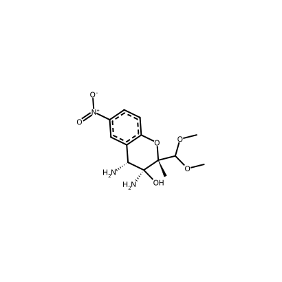 COC(OC)[C@@]1(C)Oc2ccc([N+](=O)[O-])cc2[C@@H](N)[C@]1(N)O